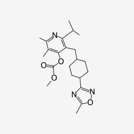 COC(=O)Oc1c(C)c(C)nc(C(C)C)c1CC1CCC(c2noc(C)n2)CC1